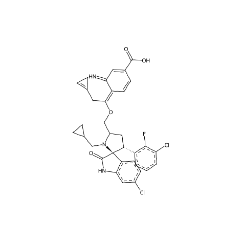 N=C1C=C(C(=O)O)C=C/C1=C(/CC1=CC1)OCC1C[C@H](c2cccc(Cl)c2F)[C@]2(C(=O)Nc3cc(Cl)ccc32)N1CC1CC1